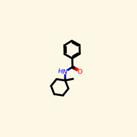 CC1(NC(=O)c2ccccc2)CCCCC1